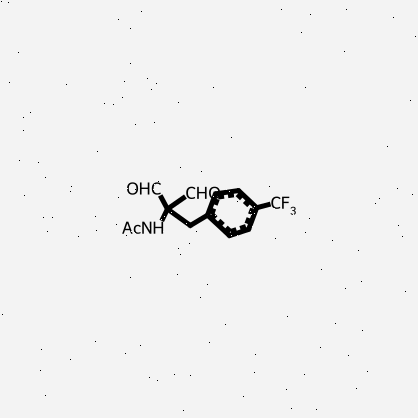 CC(=O)NC(C=O)(C=O)Cc1ccc(C(F)(F)F)cc1